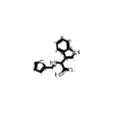 O=C(O)C(NCc1ccco1)c1c[nH]c2ccccc12